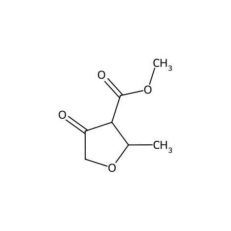 COC(=O)C1C(=O)COC1C